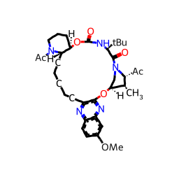 COc1ccc2nc3c(nc2c1)O[C@H]1CN(C(=O)[C@H](C(C)(C)C)NC(=O)O[C@@H]2CCCN(C(C)=O)[C@H]2CCCCC3)[C@H](C(C)=O)[C@@H]1C